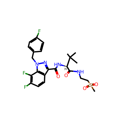 CC(C)(C)[C@H](NC(=O)c1nn(Cc2ccc(F)cc2)c2c(F)c(F)ccc12)C(=O)NCCS(C)(=O)=O